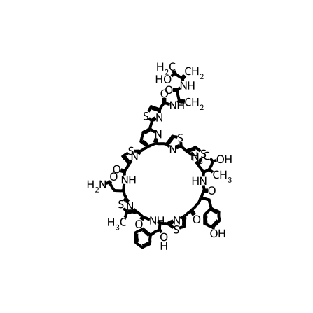 C=C(O)C(=C)NC(=O)C(=C)NC(=O)c1csc(-c2ccc3c(n2)-c2csc(n2)-c2csc(n2)C(C(C)C(C)O)NC(=O)C(Cc2ccc(O)cc2)CC(=O)c2csc(n2)C(C(O)c2ccccc2)NC(=O)c2nc(sc2C)C(CC(N)=O)NC(=O)c2csc-3n2)n1